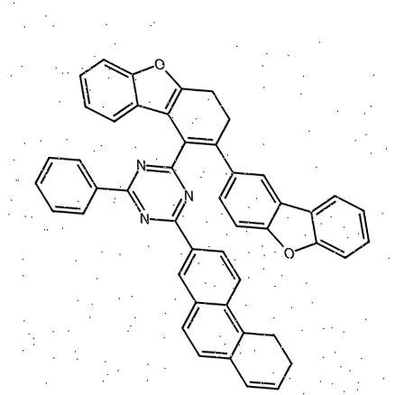 C1=Cc2ccc3cc(-c4nc(C5=C(c6ccc7oc8ccccc8c7c6)CCc6oc7ccccc7c65)nc(-c5ccccc5)n4)ccc3c2CC1